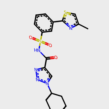 Cc1csc(-c2cccc(S(=O)(=O)NC(=O)c3cn(C4CCCCC4)nn3)c2)n1